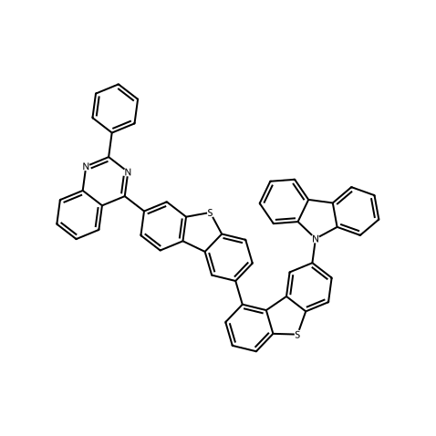 c1ccc(-c2nc(-c3ccc4c(c3)sc3ccc(-c5cccc6sc7ccc(-n8c9ccccc9c9ccccc98)cc7c56)cc34)c3ccccc3n2)cc1